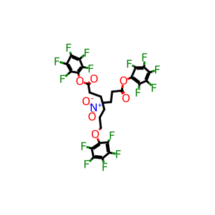 O=C(CCC(CCCOc1c(F)c(F)c(F)c(F)c1F)(CCC(=O)Oc1c(F)c(F)c(F)c(F)c1F)[N+](=O)[O-])Oc1c(F)c(F)c(F)c(F)c1F